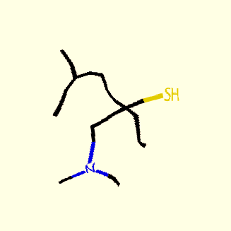 CC(C)CC(C)(S)CN(C)C